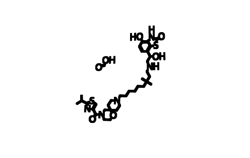 CC(C)c1nc(C(=O)N2CCOC3(CCN(CCCCCCC(C)(C)CCNCC(O)c4ccc(O)c5[nH]c(=O)sc45)CC3)C2)cs1.O=CO